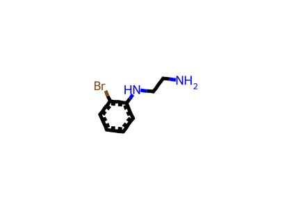 NCCNc1ccccc1Br